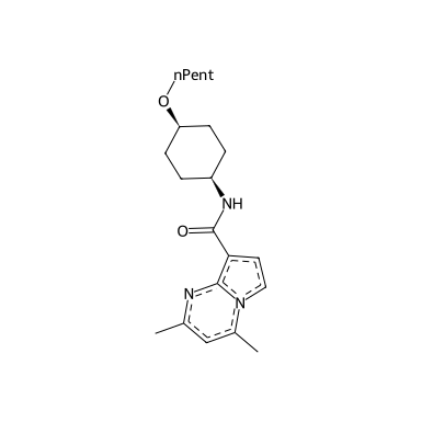 CCCCCO[C@H]1CC[C@@H](NC(=O)c2ccn3c(C)cc(C)nc23)CC1